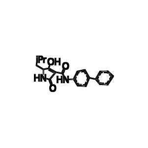 CC(C)CC1NC(=O)C(C(=O)Nc2ccc(-c3ccccc3)cc2)=C1O